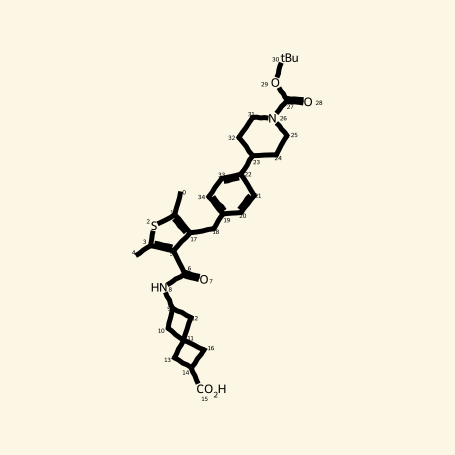 Cc1sc(C)c(C(=O)NC2CC3(C2)CC(C(=O)O)C3)c1Cc1ccc(C2CCN(C(=O)OC(C)(C)C)CC2)cc1